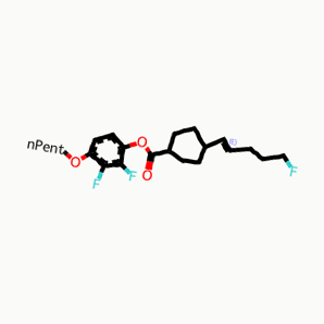 CCCCCOc1ccc(OC(=O)C2CCC(/C=C/CCCF)CC2)c(F)c1F